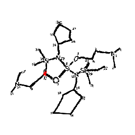 CN(C)CCO[Si](OCCN(C)C)(N(C1CCCC1)[Si](C)(C)C)N(C1CCCC1)[Si](C)(C)C